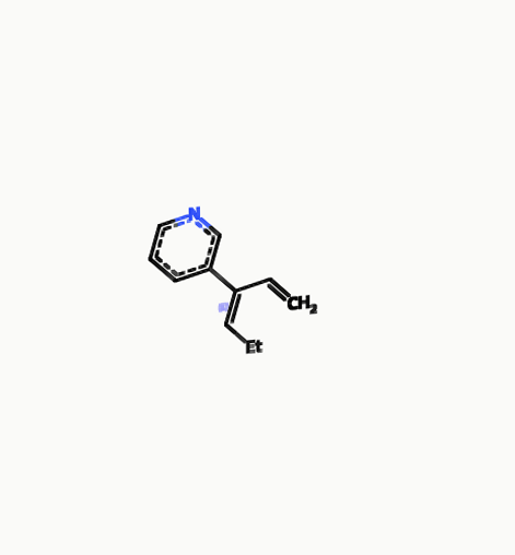 C=C/C(=C\CC)c1cccnc1